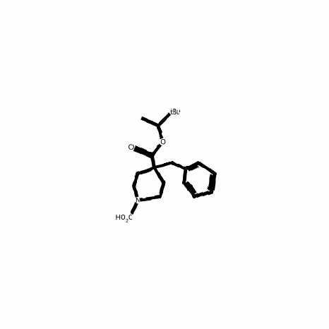 CC(OC(=O)C1(Cc2ccccc2)CCN(C(=O)O)CC1)C(C)(C)C